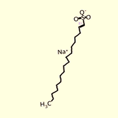 CCCCCCCCCCCCCCCC/C=C/S(=O)(=O)[O-].[Na+]